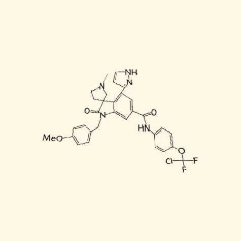 COc1ccc(CN2C(=O)C3(CCN(C)C3)c3c(-c4cc[nH]n4)cc(C(=O)Nc4ccc(OC(F)(F)Cl)cc4)cc32)cc1